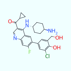 N[C@H]1CC[C@H](Nc2c(C(=O)C3CC3)cnc3cc(F)c(-c4cc(Cl)c(O)c(CO)c4)cc23)CC1